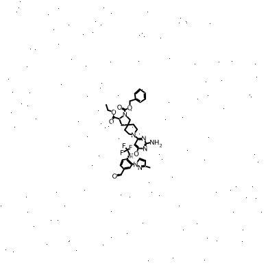 CCOC(=O)C1CC2(CCN(c3cc(O[C@H](c4ccc(C=O)cc4-n4ccc(C)n4)C(F)(F)F)nc(N)n3)CC2)CN1C(=O)OCc1ccccc1